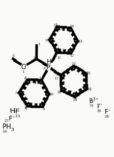 COC(C)[PH](c1ccccc1)(c1ccccc1)c1ccccc1.F.P.[B+3].[F-].[F-].[F-]